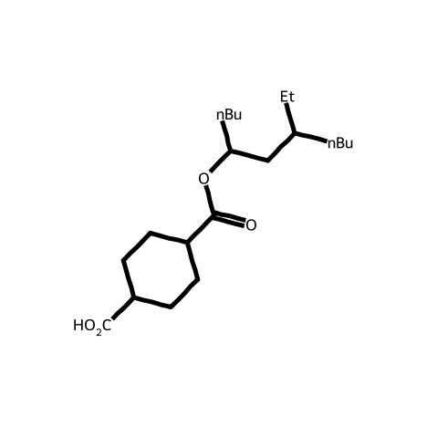 CCCCC(CC)CC(CCCC)OC(=O)C1CCC(C(=O)O)CC1